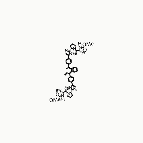 C=C/C(=C1\C(=C(/C)c2ccc(-c3cnc([C@@H]4CCCN4C(=O)[C@@H](NC(=O)OC)C(C)C)[nH]3)cc2)C2C=CC1C2)c1ccc(-c2cnc([C@@H]3CCCN3C(=O)[C@@H](NC(=O)OC)C(C)C)[nH]2)cc1